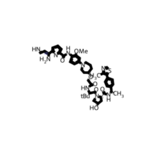 COc1cc(N2CCC[C@@H](OCC(=O)N[C@H](C(=O)N3C[C@H](O)C[C@H]3C(=O)N[C@@H](C)c3ccc(-c4scnc4C)cc3)C(C)(C)C)CC2)ccc1NC(=O)c1cccc(/C(N)=C/C=N)n1